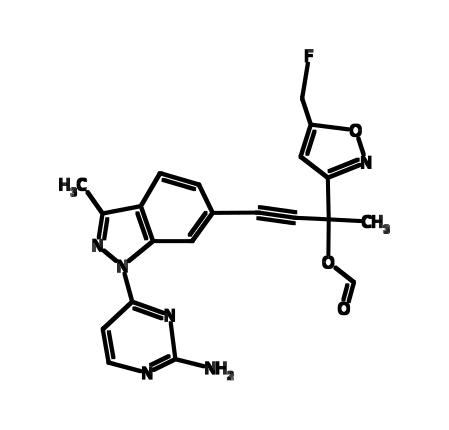 Cc1nn(-c2ccnc(N)n2)c2cc(C#CC(C)(OC=O)c3cc(CF)on3)ccc12